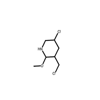 COC1NCC(Cl)CC1CCl